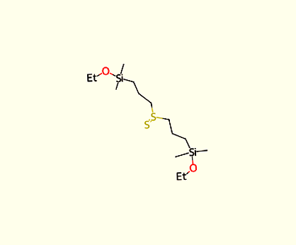 CCO[Si](C)(C)CCCS(=S)CCC[Si](C)(C)OCC